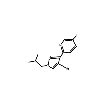 CC(C)Cn1cc(Br)c(-c2ccc(F)cn2)n1